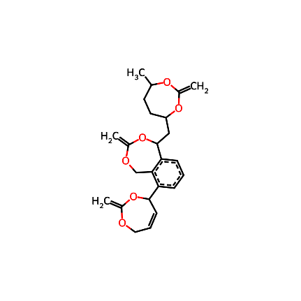 C=C1OC(C)CCC(CC2OC(=C)OCc3c(C4C=CCOC(=C)O4)cccc32)O1